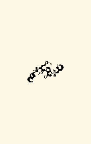 CCCC(NC(=O)Oc1cc2sccc2s1)C(=O)N1CCC2C1C(=O)CN2S(=O)(=O)Cc1cccnc1